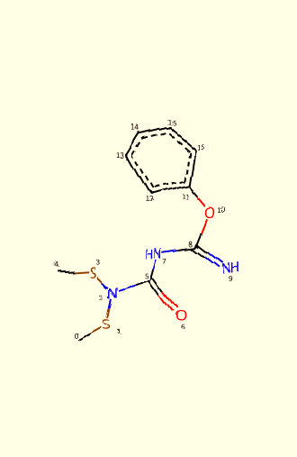 CSN(SC)C(=O)NC(=N)Oc1ccccc1